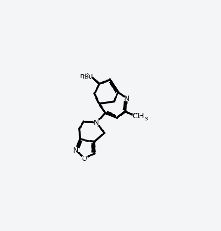 CCCCC1C=C2CC(C1)C(N1CCc3nocc3C1)=CC(C)=N2